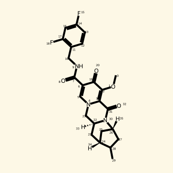 COc1c2n(cc(C(=O)NCc3ccc(F)cc3F)c1=O)C[C@@H]1C[C@@H]3C[C@@H](CC3C)N1C2=O